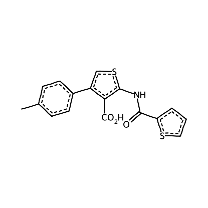 Cc1ccc(-c2csc(NC(=O)c3cccs3)c2C(=O)O)cc1